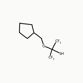 FC(F)(F)C(S)(OCC1CCCC1)C(F)(F)F